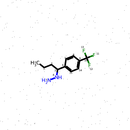 CCCC(NN)c1ccc(C(F)(F)F)cc1